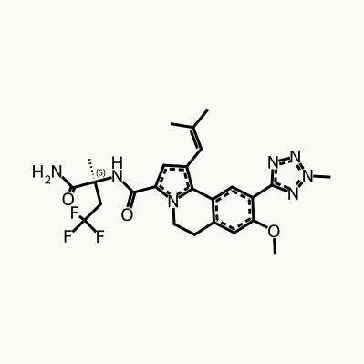 COc1cc2c(cc1-c1nnn(C)n1)-c1c(C=C(C)C)cc(C(=O)N[C@@](C)(CC(F)(F)F)C(N)=O)n1CC2